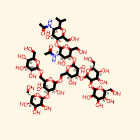 CC(=O)N[C@@H]1C(O[C@@H]2C(CO)OC(C(C)C)[C@@H](NC(C)=O)[C@H]2O)OC(CO)[C@@H](OC2OC(COC3OC(COC4OC(CO)[C@@H](O)[C@H](O)[C@H]4O)[C@@H](O)[C@H](OC4O[C@@H](CO)[C@@H](O)C(O)C4O)[C@H]3O)[C@@H](O)[C@H](OC3O[C@@H](CO)[C@@H](O)C(O)C3OC3O[C@@H](CO)[C@@H](O)C(O)C3O)[C@H]2O)[C@@H]1O